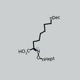 CCCCCCCCCCCCCCCC/C(=N/OCCCCCCC)C(=O)O